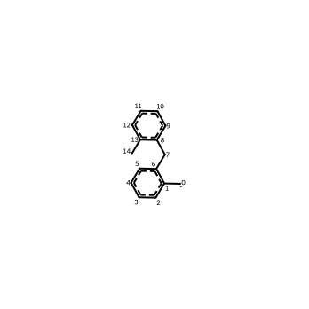 [CH2]c1ccccc1Cc1ccccc1C